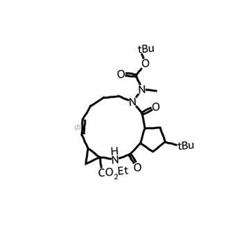 CCOC(=O)C12CC1/C=C\CCCN(N(C)C(=O)OC(C)(C)C)C(=O)C1CC(C(C)(C)C)CC1C(=O)N2